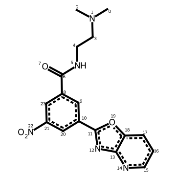 CN(C)CCNC(=O)c1cc(-c2nc3ncccc3o2)cc([N+](=O)[O-])c1